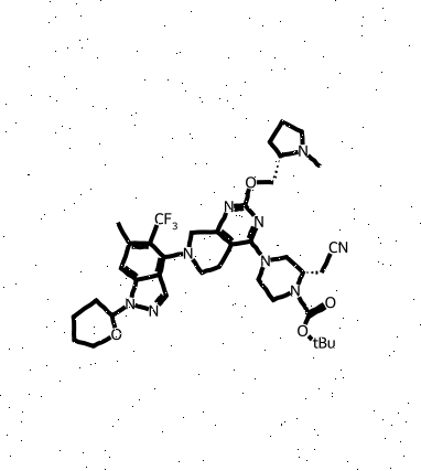 Cc1cc2c(cnn2C2CCCCO2)c(N2CCc3c(nc(OC[C@@H]4CCCN4C)nc3N3CCN(C(=O)OC(C)(C)C)[C@@H](CC#N)C3)C2)c1C(F)(F)F